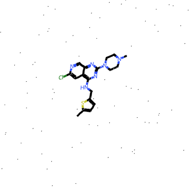 Cc1ccc(CNc2nc(N3CCN(C)CC3)nc3cnc(Cl)cc23)s1